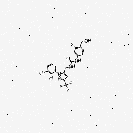 O=C(NCc1cc(C(F)(F)F)nn1-c1cccc(Cl)c1Cl)Nc1ccc(CO)c(F)c1